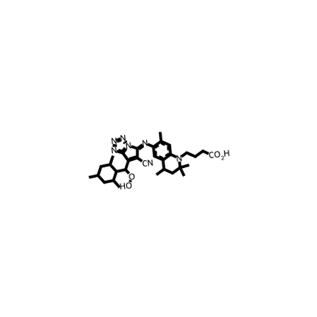 Cc1cc2c(cc1/N=C1\C(C#N)=C(C(OO)C3C(C)CC(C)CC3C)c3nnnn31)C(C)CC(C)(C)N2CCCC(=O)O